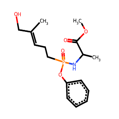 COC(=O)C(C)NP(=O)(CC/C=C(\C)CO)Oc1ccccc1